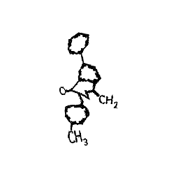 C=C1c2ccc(-c3ccccc3)cc2C(=O)N1c1ccc(C)cc1